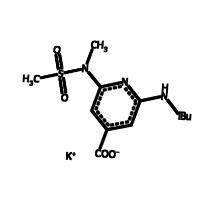 CCC(C)Nc1cc(C(=O)[O-])cc(N(C)S(C)(=O)=O)n1.[K+]